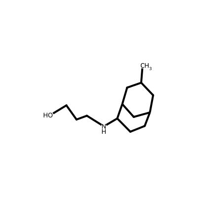 CC1CC2CCC(NCCCO)C(C1)C2